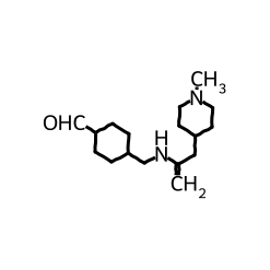 C=C(CC1CCN(C)CC1)NCC1CCC(C=O)CC1